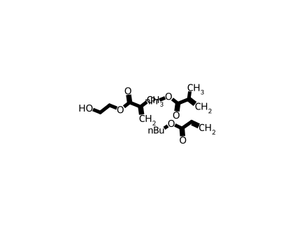 C=C(C)C(=O)OCCC.C=C(C)C(=O)OCCO.C=CC(=O)OCCCC